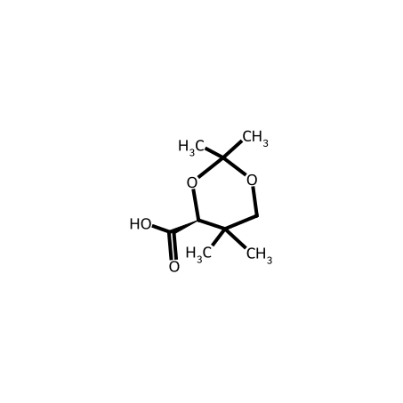 CC1(C)OCC(C)(C)[C@@H](C(=O)O)O1